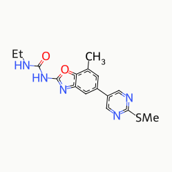 CCNC(=O)Nc1nc2cc(-c3cnc(SC)nc3)cc(C)c2o1